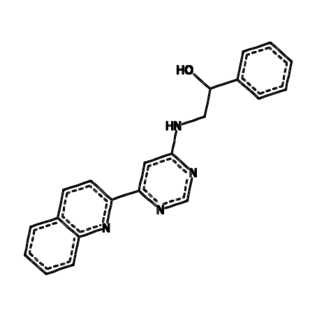 OC(CNc1cc(-c2ccc3ccccc3n2)ncn1)c1ccccc1